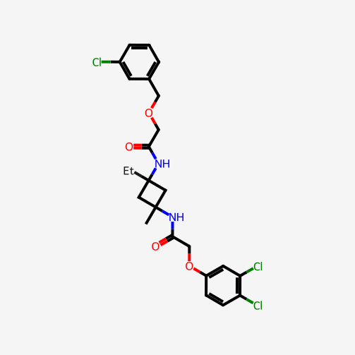 CCC1(NC(=O)COCc2cccc(Cl)c2)CC(C)(NC(=O)COc2ccc(Cl)c(Cl)c2)C1